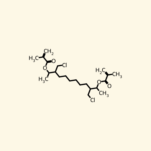 C=C(C)C(=O)OC(C)C(CCl)CCCCCCC(CCl)C(C)OC(=O)C(=C)C